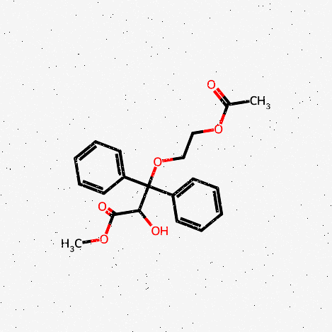 COC(=O)C(O)C(OCCOC(C)=O)(c1ccccc1)c1ccccc1